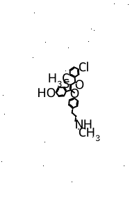 CCNCCCc1ccc(Oc2c(C(=O)c3cc(Cl)ccc3C)sc3cc(O)ccc23)cc1